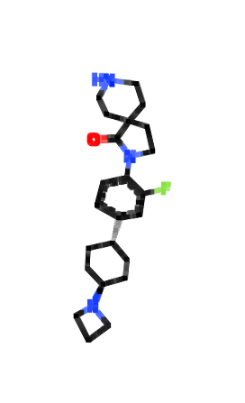 O=C1N(c2ccc([C@H]3CC[C@H](N4CCC4)CC3)cc2F)CCC12CCNCC2